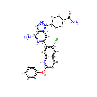 NC(=O)C1CCC(c2ncc3c(N)nc(-c4cc5nc(Oc6ccccc6)ccc5cc4Cl)cn23)CC1